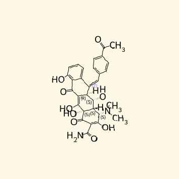 CC(=O)c1ccc(/C=C2\c3cccc(O)c3C(=O)C3=C(O)[C@]4(O)C(=O)C(C(N)=O)=C(O)[C@@H](N(C)C)[C@H]4[C@@H](O)[C@@H]32)cc1